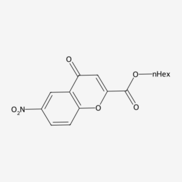 CCCCCCOC(=O)c1cc(=O)c2cc([N+](=O)[O-])ccc2o1